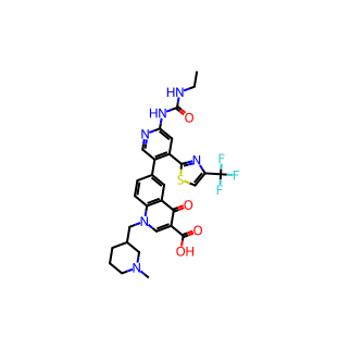 CCNC(=O)Nc1cc(-c2nc(C(F)(F)F)cs2)c(-c2ccc3c(c2)c(=O)c(C(=O)O)cn3CC2CCCN(C)C2)cn1